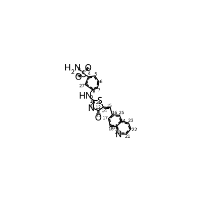 NS(=O)(=O)c1cccc(NC2=NC(=O)/C(=C\c3ccc4ncccc4c3)S2)c1